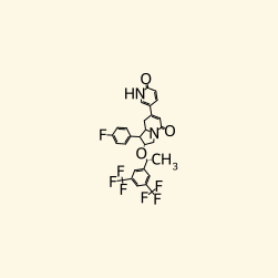 C[C@@H](O[C@H]1CN2C(=O)C=C(c3ccc(=O)[nH]c3)CC2C1c1ccc(F)cc1)c1cc(C(F)(F)F)cc(C(F)(F)F)c1